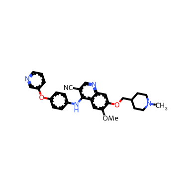 COc1cc2c(Nc3ccc(Oc4cccnc4)cc3)c(C#N)cnc2cc1OCC1CCN(C)CC1